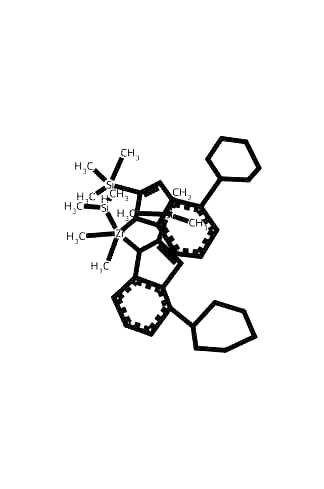 C[SiH](C)[Zr]([CH3])([CH3])([CH]1C([Si](C)(C)C)=Cc2c(C3CCCCC3)cccc21)[CH]1C([Si](C)(C)C)=Cc2c(C3CCCCC3)cccc21